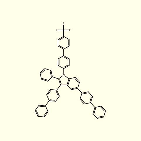 FC(F)(F)c1ccc(-c2ccc(-n3c(-c4ccccc4)c(-c4ccc(-c5ccccc5)cc4)c4cc(-c5ccc(-c6ccccc6)cc5)ccc43)cc2)cc1